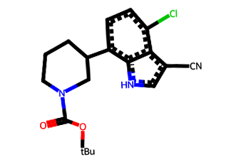 CC(C)(C)OC(=O)N1CCCC(c2ccc(Cl)c3c(C#N)c[nH]c23)C1